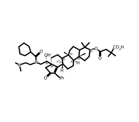 CC(C)C1=C2[C@H]3CC[C@@H]4[C@@]5(C)CC[C@H](OC(=O)CC(C)(C)C(=O)O)C(C)(C)C5CC[C@@]4(C)[C@]3(C)CC[C@@]2([C@@H](O)CN(CCN(C)C)C(=O)C2CCCCC2)CC1=O